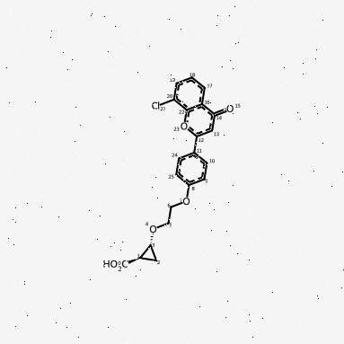 O=C(O)[C@@H]1C[C@H]1OCCOc1ccc(-c2cc(=O)c3cccc(Cl)c3o2)cc1